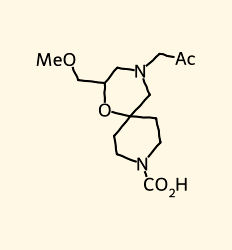 COCC1CN(CC(C)=O)CC2(CCN(C(=O)O)CC2)O1